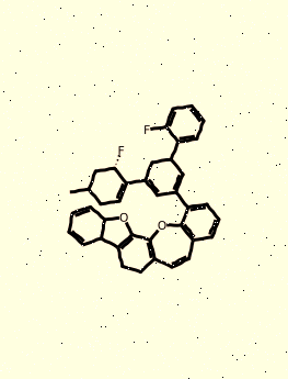 CC1CC=C(C2=CC(c3cccc4c3OC3=C(C=C4)CCC4=C3OC3C=CC=CC43)=CC(c3ccccc3F)C2)[C@@H](F)C1